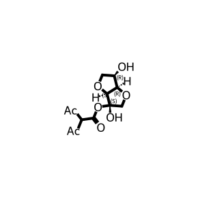 CC(=O)C(C(C)=O)C(=O)O[C@@]1(O)CO[C@@H]2[C@H](O)CO[C@@H]21